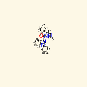 CC(NC(=O)c1nn(C2CCCCC2)c2c1CCCC2)C1CCCCC1